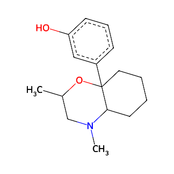 CC1CN(C)C2CCCCC2(c2cccc(O)c2)O1